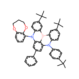 CC(C)(C)c1ccc(N2c3ccc(C(C)(C)C)cc3B3c4cc(C(C)(C)C)ccc4N(c4cccc5c4OCCCO5)c4cc(-c5ccccc5)cc2c43)cc1